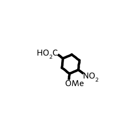 COC1CC(C(=O)O)CCC1[N+](=O)[O-]